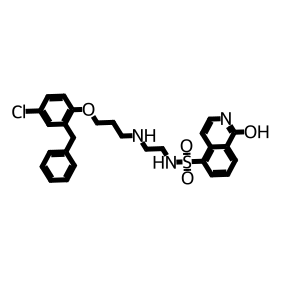 O=S(=O)(NCCNCCCOc1ccc(Cl)cc1Cc1ccccc1)c1cccc2c(O)nccc12